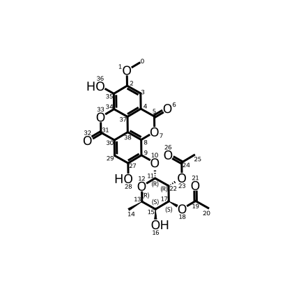 COc1cc2c(=O)oc3c(O[C@H]4O[C@H](C)[C@H](O)[C@H](OC(C)=O)[C@H]4OC(C)=O)c(O)cc4c(=O)oc(c1O)c2c34